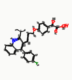 CC(C)c1nc2ccccc2c(-c2ccc(F)cc2)c1C=CCOc1ccc(C(=O)C(=O)O)cc1